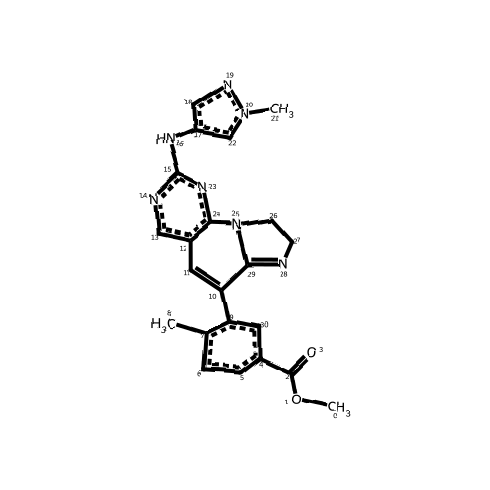 COC(=O)c1ccc(C)c(C2=Cc3cnc(Nc4cnn(C)c4)nc3N3CCN=C23)c1